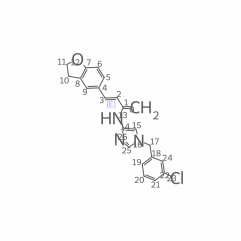 C=C(/C=C/c1ccc2c(c1)CCO2)Nc1cn(Cc2cccc(Cl)c2)cn1